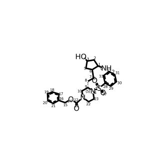 NC1CC(O)CC1CC[C@H]1CN(C(=O)OCc2ccccc2)CCN1S(=O)(=O)c1ccccc1